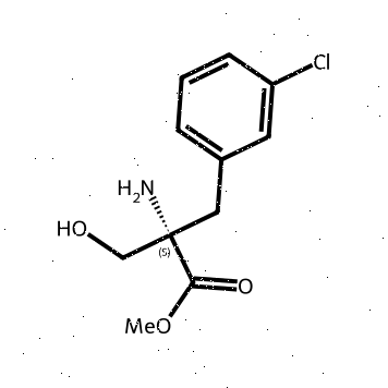 COC(=O)[C@@](N)(CO)Cc1cccc(Cl)c1